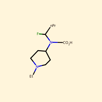 CCCC(F)N(C(=O)O)C1CCN(CC)CC1